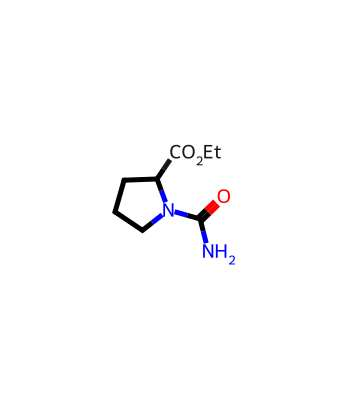 CCOC(=O)C1CCCN1C(N)=O